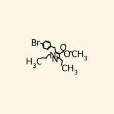 CCCCn1nc(CCC)c(C(=O)OCC)c1Cc1ccc(Br)cc1